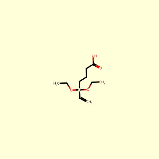 C=C[Si](CCCC(=O)O)(OCC)OCC